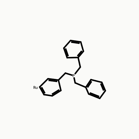 [Ru].c1ccc(CP(Cc2ccccc2)Cc2ccccc2)cc1